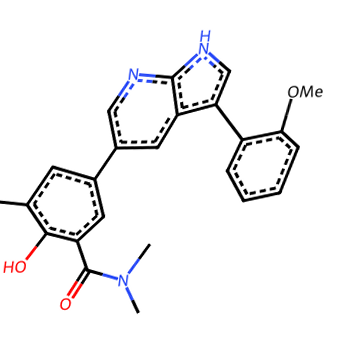 COc1ccccc1-c1c[nH]c2ncc(-c3cc(C)c(O)c(C(=O)N(C)C)c3)cc12